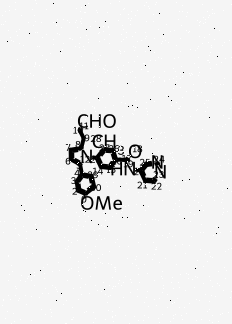 COc1ccc(-c2ccc(CCC=O)n2-c2ccc(C(=O)Nc3ccnnc3)cc2C)cc1